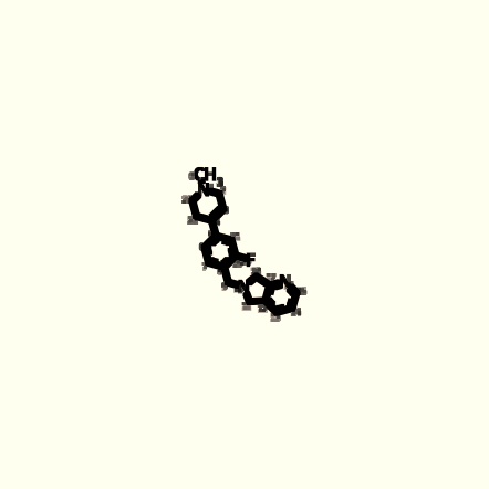 CN1CC=C(c2ccc(CN3Cc4cccnc4C3)c(F)c2)CC1